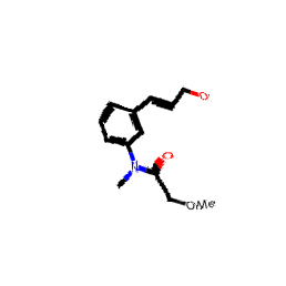 COCC(=O)N(C)c1cccc(C=CC[O])c1